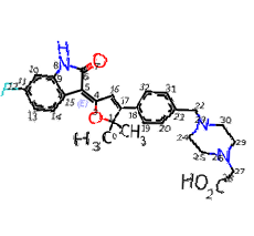 CC1(C)O/C(=C2/C(=O)Nc3cc(F)ccc32)C=C1c1ccc(CN2CCN(CC(=O)O)CC2)cc1